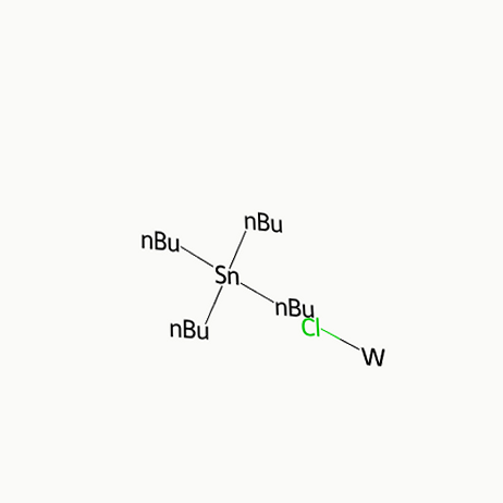 CCC[CH2][Sn]([CH2]CCC)([CH2]CCC)[CH2]CCC.[Cl][W]